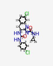 O=C(Nc1ccc(Cl)cc1)NC(Cc1ccc(Cl)cc1)c1noc(NC2CC2)n1